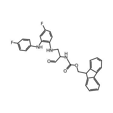 O=CC(CNc1ccc(F)cc1Nc1ccc(F)cc1)NC(=O)OCC1c2ccccc2-c2ccccc21